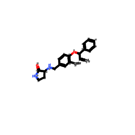 C=CC(Oc1ccc(CNC2CCNC2=O)cc1OC)c1ccccc1